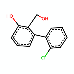 OCc1c(-c2ccccc2Cl)[c]ccc1O